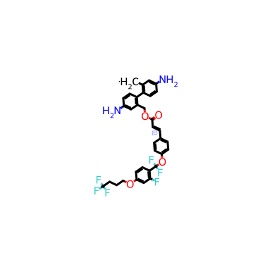 [CH2]c1cc(N)ccc1-c1ccc(N)cc1COC(=O)/C=C/c1ccc(OC(F)(F)c2ccc(OCCCC(F)(F)F)cc2F)cc1